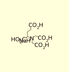 O=C(O)CC[C@H](C(=O)O)N(CC(=O)O)CC(=O)O.[NaH]